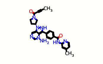 CC#CC(=O)N1CC[C@@H](N2NC(c3ccc(C(=O)Nc4cc(C)ccn4)cc3)=C3C2=CN=CN3N)C1